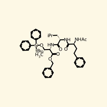 CC(=O)N[C@@H](CCc1ccccc1)C(=O)N[C@@H](CC(C)C)C(=O)N[C@H](C(=O)OCc1ccccc1)[C@H](C)O[Si](c1ccccc1)(c1ccccc1)C(C)(C)C